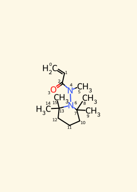 C=CC(=O)N(C)N1C(C)(C)CCCC1(C)C